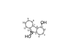 Oc1cccc2c1c1ccccc1n2O